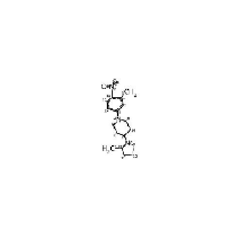 Cc1cc(N2CCC(N3CCCC3C)CC2)ccc1[N+](=O)[O-]